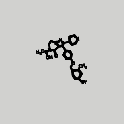 CB(O)N1CCn2nc(-c3ccncc3)c(-c3ccc(OCc4ccc(C(C)C)cc4C)cc3)c2C1=O